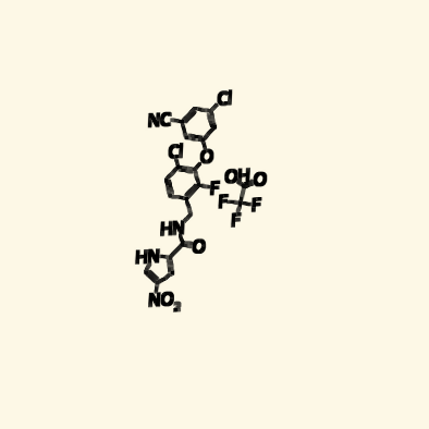 N#Cc1cc(Cl)cc(Oc2c(Cl)ccc(CNC(=O)c3cc([N+](=O)[O-])c[nH]3)c2F)c1.O=C(O)C(F)(F)F